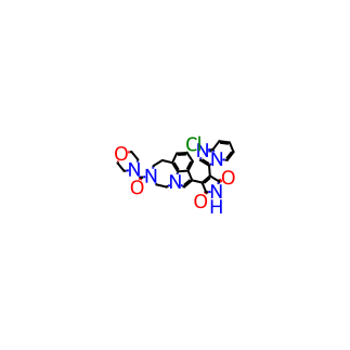 O=C1NC(=O)C(c2cnc3ccccn23)=C1c1cn2c3c(cc(Cl)cc13)CCN(C(=O)N1CCOCC1)CC2